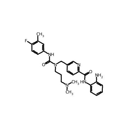 Cc1cc(NC(=O)N(CCCN(C)C)Cc2ccc(C(=O)Nc3ccccc3N)nc2)ccc1F